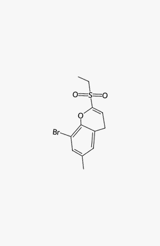 CCS(=O)(=O)C1=CCc2cc(C)cc(Br)c2O1